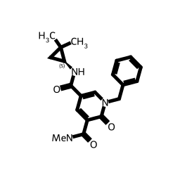 CNC(=O)c1cc(C(=O)N[C@H]2CC2(C)C)cn(Cc2ccccc2)c1=O